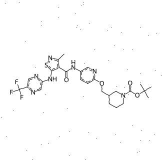 Cc1nsc(Nc2cnc(C(F)(F)F)cn2)c1C(=O)Nc1ccc(OCC2CCCN(C(=O)OC(C)(C)C)C2)nc1